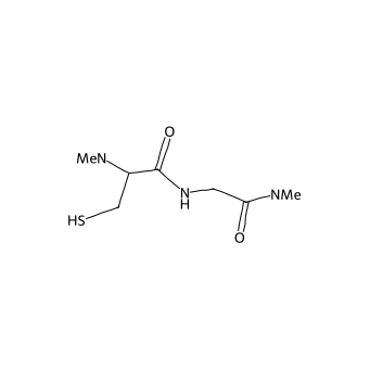 CNC(=O)CNC(=O)C(CS)NC